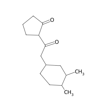 CC1CCC(CC(=O)C2CCCC2=O)CC1C